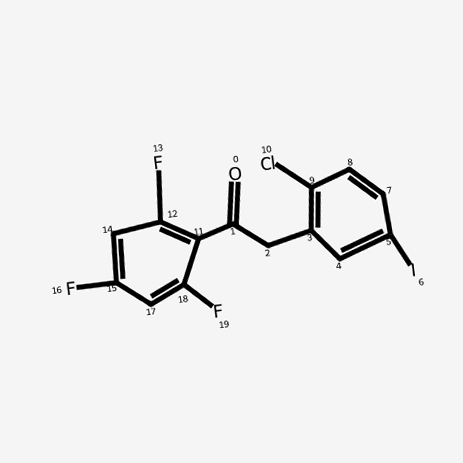 O=C(Cc1cc(I)ccc1Cl)c1c(F)cc(F)cc1F